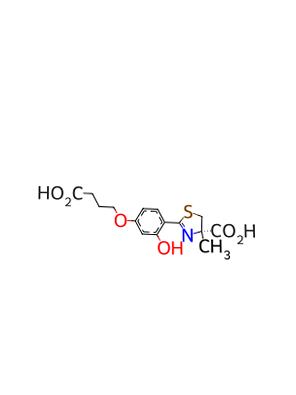 C[C@]1(C(=O)O)CSC(c2ccc(OCCCC(=O)O)cc2O)=N1